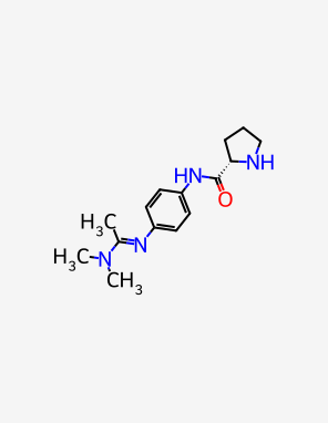 C/C(=N\c1ccc(NC(=O)[C@@H]2CCCN2)cc1)N(C)C